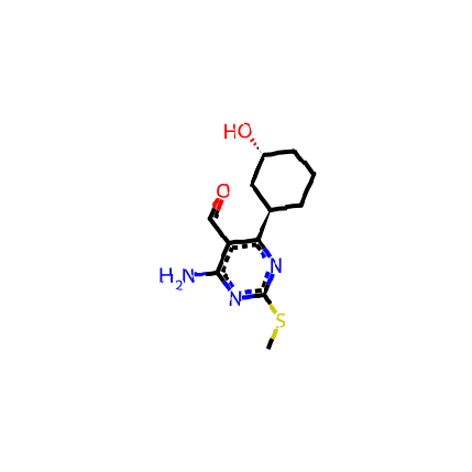 CSc1nc(N)c(C=O)c([C@@H]2CCC[C@@H](O)C2)n1